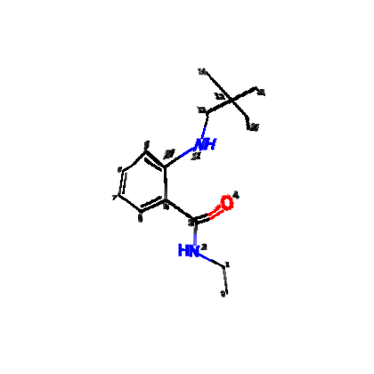 CCNC(=O)c1ccccc1NCC(C)(C)C